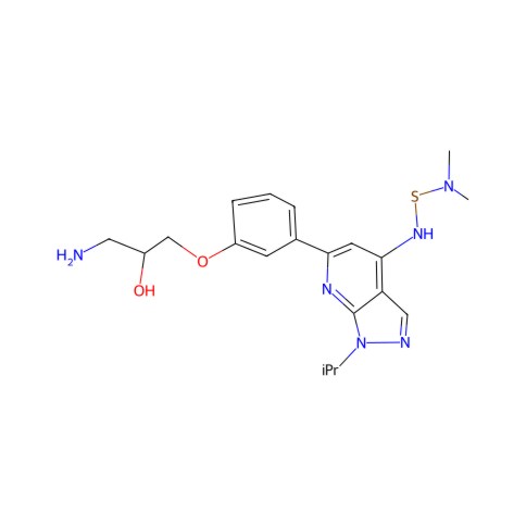 CC(C)n1ncc2c(NSN(C)C)cc(-c3cccc(OCC(O)CN)c3)nc21